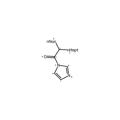 CCCCCCCCCC(CCCCCCC)C(=O)n1ccnc1